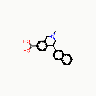 CN1Cc2cc(B(O)O)ccc2[C@H](c2ccc3ccccc3c2)C1